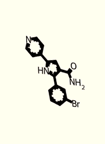 NC(=O)c1cc(-c2ccncc2)[nH]c1-c1cccc(Br)c1